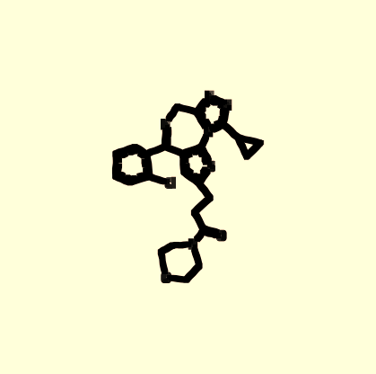 O=C(CCc1cc2c(s1)-n1c(nnc1C1CC1)CN=C2c1ccccc1Cl)N1CCOCC1